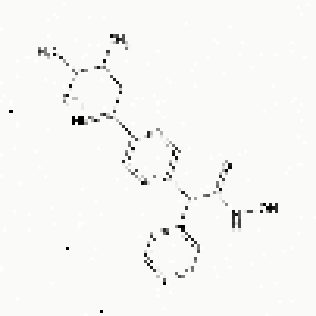 CC(CC(=N)c1ccc(C(C(=O)NO)c2ccccc2)cc1)N(C)C